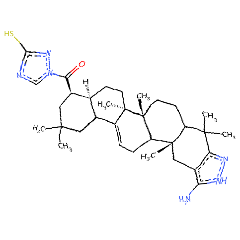 CC1(C)CC2C3=CCC4[C@@]5(C)Cc6c(n[nH]c6N)C(C)(C)C5CC[C@@]4(C)[C@]3(C)CC[C@@H]2[C@H](C(=O)n2cnc(S)n2)C1